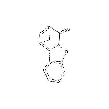 O=C1C2=CC(=C3c4ccccc4OC13)C2